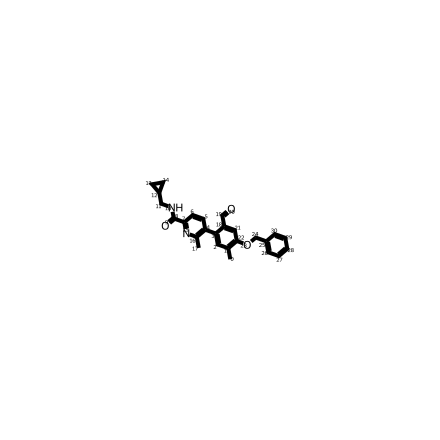 Cc1cc(-c2ccc(C(=O)NCC3CC3)nc2C)c(C=O)cc1OCc1ccccc1